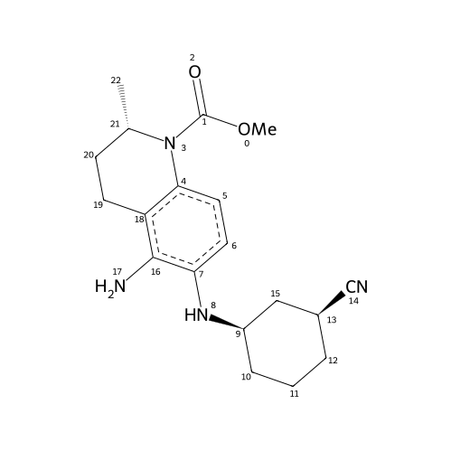 COC(=O)N1c2ccc(N[C@@H]3CCC[C@H](C#N)C3)c(N)c2CC[C@@H]1C